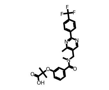 Cc1nc(-c2ccc(C(F)(F)F)cc2)ncc1CN(C)C(=O)c1cccc(OC(C)(C)C(=O)O)c1